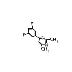 Cc1cc(-c2cc(F)cc(F)c2)nc(C)n1